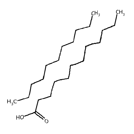 CCCCCCCCCCC.CCCCCCCCCCCC(=O)O